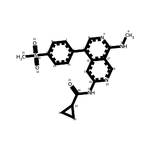 CNc1ncc(-c2ccc(S(C)(=O)=O)cc2)c2cc(NC(=O)C3CC3)ncc12